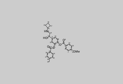 COc1ccc(C(=O)Oc2ccc(C(O)CNC3CCC3)cc2OC(=O)c2ccc(C)cc2)cc1